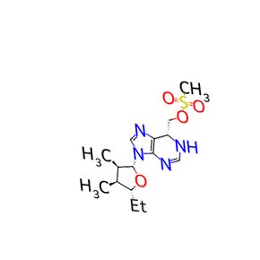 CC[C@H]1O[C@@H](n2cnc3c2N=CN[C@H]3COS(C)(=O)=O)[C@H](C)[C@@H]1C